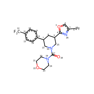 CC(C)c1coc(C2CC(c3ccc(C(F)(F)F)cc3)CN(C(=O)N3CCOCC3)C2)n1